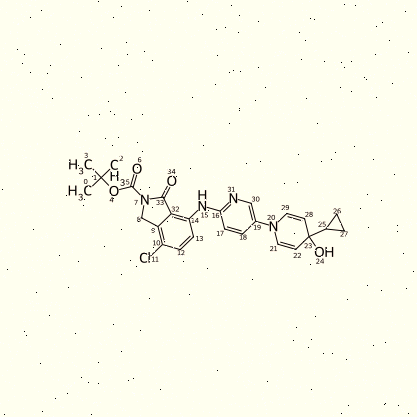 CC(C)(C)OC(=O)N1Cc2c(Cl)ccc(Nc3ccc(N4C=CC(O)(C5CC5)C=C4)cn3)c2C1=O